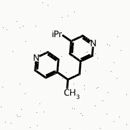 CC(C)c1cncc(CC(C)c2ccncc2)c1